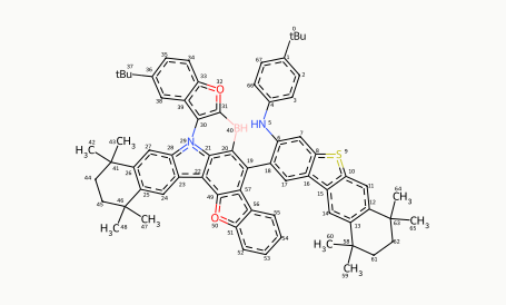 CC(C)(C)c1ccc(Nc2cc3sc4cc5c(cc4c3cc2-c2c3c4c(c6cc7c(cc6n4-c4c(oc6ccc(C(C)(C)C)cc46)B3)C(C)(C)CCC7(C)C)c3oc4ccccc4c23)C(C)(C)CCC5(C)C)cc1